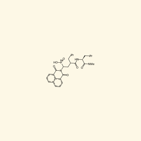 CNC(=O)[C@H](CC(C)C)NC(=O)C(CC(C)C)CC(N1C(=O)c2cccc3cccc(c23)C1=O)[PH](=O)O